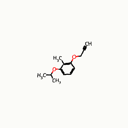 C#CCOc1cccc(OC(C)C)c1C